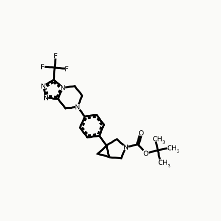 CC(C)(C)OC(=O)N1CC2CC2(c2ccc(N3CCn4c(nnc4C(F)(F)F)C3)cc2)C1